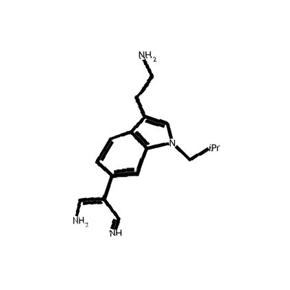 CC(C)Cn1cc(CCN)c2ccc(/C(C=N)=C/N)cc21